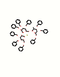 CS[C@H]1OC(COCc2ccccc2)[C@@H](OCc2ccccc2)[C@@H](OCc2ccccc2)C1O[C@H]1OC(CO[C@@H]2OC(COCc3ccccc3)[C@@H](OCc3ccccc3)[C@H](OCc3ccccc3)C2C)[C@@H](OCc2ccccc2)[C@H](OCc2ccccc2)C1OCc1ccccc1